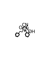 Cc1nc(-c2ccccc2O)n(CCc2ccccc2)c(=O)c1C#N